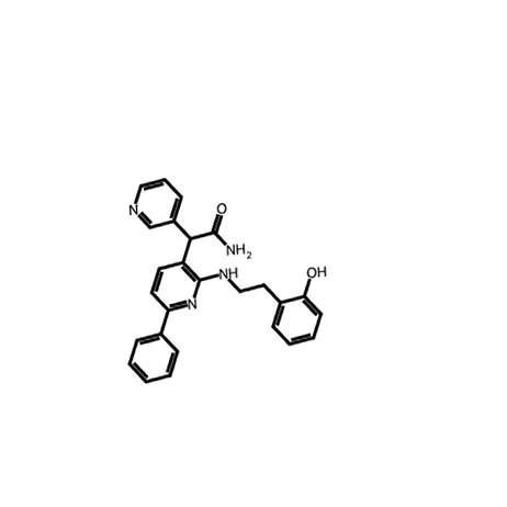 NC(=O)C(c1cccnc1)c1ccc(-c2ccccc2)nc1NCCc1ccccc1O